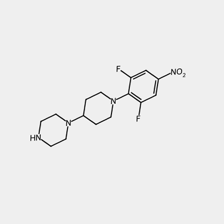 O=[N+]([O-])c1cc(F)c(N2CCC(N3CCNCC3)CC2)c(F)c1